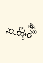 CC1CCN(Cc2cc3c(c(C(F)(F)F)c2)CN(c2cccc(C4(Cc5nncn5C)COC4)c2)C3=O)CC1F